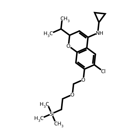 CC(C)C1C=C(NC2CC2)c2cc(Cl)c(OCOCC[Si](C)(C)C)cc2O1